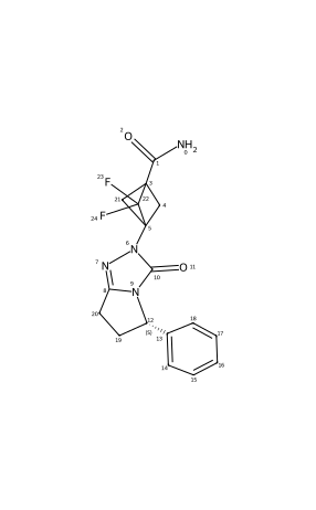 NC(=O)C12CC(n3nc4n(c3=O)[C@H](c3ccccc3)CC4)(C1)C2(F)F